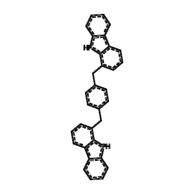 c1ccc2c(c1)[pH]c1c(Cc3ccc(Cc4cccc5c4[pH]c4ccccc45)cc3)cccc12